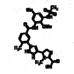 COc1c(NC(=O)c2ccc(C)c(N3C=C(C4CN=C(C(=O)C(C)(C)C)N4C)NN3)c2)cc(C(C)(C)C)cc1NS(C)(=O)=O